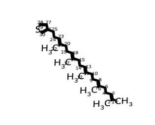 CC(C)=CCC/C(C)=C/CC/C(C)=C/CC/C(C)=C/CC/C(C)=C/CCc1ccsc1